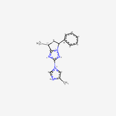 Cc1cn(-c2nc3n(n2)C(c2ccccc2)CC3C)cn1